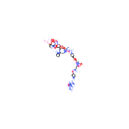 CC[C@]1(NC(=O)Nc2ccc([Si](C)(C)O[Si]3(C)CC(C(=O)O)N(C(=O)CCCNC(=O)c4ccc(NCc5cnc6nc(N)[nH]c(=O)c6n5)cc4)C3)cc2)C[C@H]2CN(CCc3c([nH]c4ccccc34)[C@@](C)(c3cc4c(cc3OC)N(C)[C@H]3[C@@](O)(C(N)=O)[C@H](O)[C@]5(CC)C=CCN6CC[C@]43[C@H]65)C2)C1